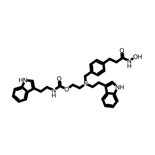 O=C(CCc1ccc(CN(CCOC(=O)NCCc2c[nH]c3ccccc23)CCc2c[nH]c3ccccc23)cc1)NO